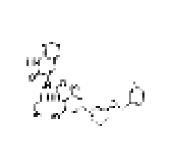 CC(C)CCCN(C(=O)Nc1c(C(C)C)cc(-c2cccc(OCc3cccnc3)c2)cc1C(C)C)c1cc2cccnc2[nH]c1=O